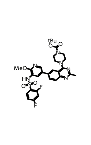 COc1ncc(-c2ccc3nc(C)nc(N4CCN(C(=O)OC(C)(C)C)CC4)c3c2)cc1NS(=O)(=O)c1ccc(F)cc1F